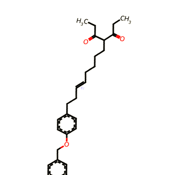 CCC(=O)C(CCCC/C=C/CCc1ccc(OCc2ccccc2)cc1)C(=O)CC